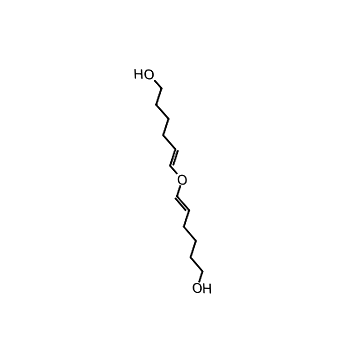 OCCCCC=COC=CCCCCO